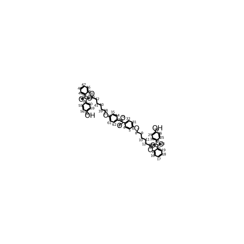 O=S(=O)(c1ccc(OCCCCCCOc2ccccc2S(=O)(=O)c2ccc(O)cc2)cc1)c1ccc(OCCCCCCOc2ccccc2S(=O)(=O)c2ccc(O)cc2)cc1